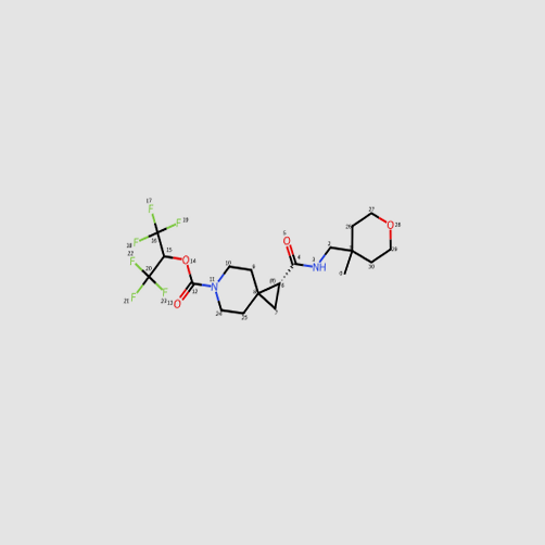 CC1(CNC(=O)[C@@H]2CC23CCN(C(=O)OC(C(F)(F)F)C(F)(F)F)CC3)CCOCC1